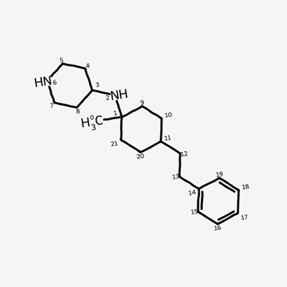 CC1(NC2CCNCC2)CCC(CCc2ccccc2)CC1